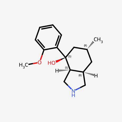 COc1ccccc1[C@]1(O)C[C@H](C)C[C@H]2CNC[C@H]21